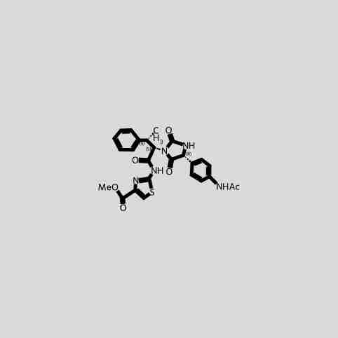 COC(=O)c1csc(NC(=O)[C@H]([C@@H](C)c2ccccc2)N2C(=O)N[C@H](c3ccc(NC(C)=O)cc3)C2=O)n1